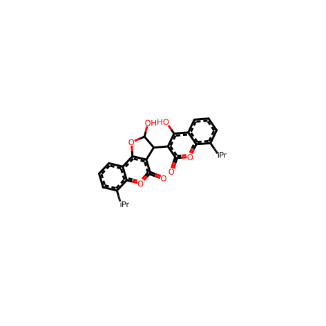 CC(C)c1cccc2c(O)c(C3c4c(c5cccc(C(C)C)c5oc4=O)OC3O)c(=O)oc12